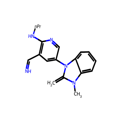 C=C1N(C)c2ccccc2N1c1cnc(NCCC)c(C=N)c1